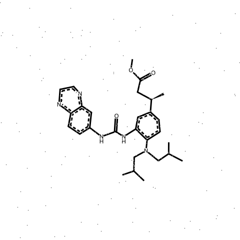 COC(=O)C[C@@H](C)c1ccc(N(CC(C)C)CC(C)C)c(NC(=O)Nc2ccc3nccnc3c2)c1